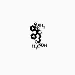 CN(O)C(=O)CCCc1scc(-c2ccccc2S(N)(=O)=O)c1-c1ccccc1